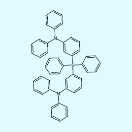 c1ccc(N(c2ccccc2)c2cccc(S(c3ccccc3)(c3ccccc3)c3cccc(N(c4ccccc4)c4ccccc4)c3)c2)cc1